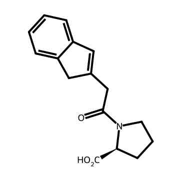 O=C(O)[C@@H]1CCCN1C(=O)CC1=Cc2ccccc2C1